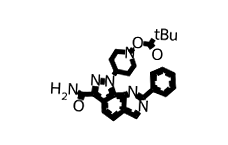 CC(C)(C)C(=O)ON1CCC(n2nc(C(N)=O)c3ccc4cnc(-c5ccccc5)nc4c32)CC1